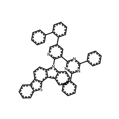 c1ccc(-c2nc(-c3ccccc3)nc(-c3cc(-c4ccccc4-c4ccccc4)cnc3-n3c4ccccc4c4c5sc6ccccc6c5ccc43)n2)cc1